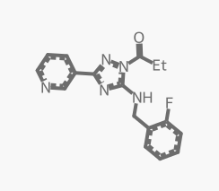 CCC(=O)n1nc(-c2cccnc2)nc1NCc1ccccc1F